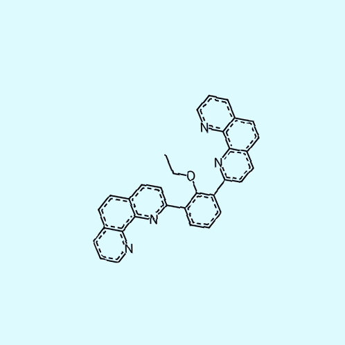 CCOc1c(-c2ccc3ccc4cccnc4c3n2)cccc1-c1ccc2ccc3cccnc3c2n1